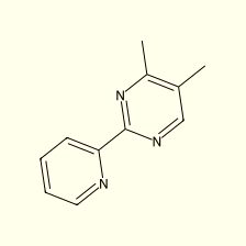 Cc1cnc(-c2ccccn2)nc1C